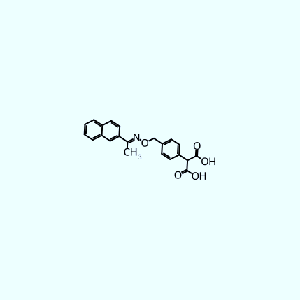 CC(=NOCc1ccc(C(C(=O)O)C(=O)O)cc1)c1ccc2ccccc2c1